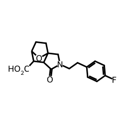 O=C(O)C1C2CCC3(CN(CCc4ccc(F)cc4)C(=O)C13)O2